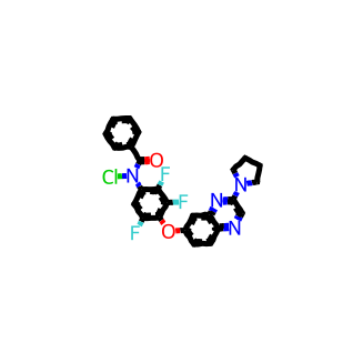 O=C(c1ccccc1)N(Cl)c1cc(F)c(Oc2ccc3ncc(N4CCCC4)nc3c2)c(F)c1F